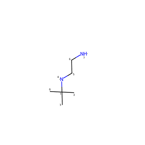 CC(C)(C)[N]CC[NH]